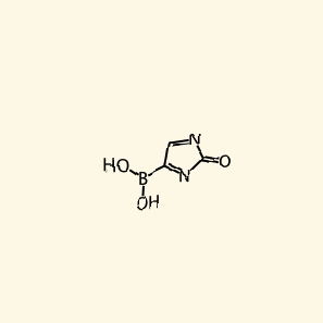 O=C1N=CC(B(O)O)=N1